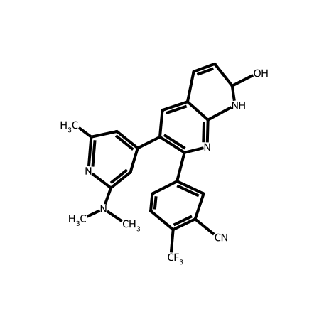 Cc1cc(-c2cc3c(nc2-c2ccc(C(F)(F)F)c(C#N)c2)NC(O)C=C3)cc(N(C)C)n1